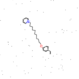 C=Cc1ccc(OCCCCCCCCCCC[n+]2ccccc2)cc1